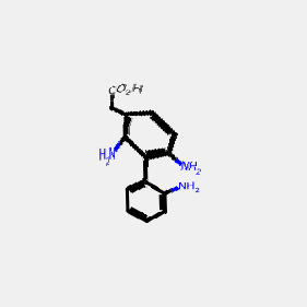 Nc1ccccc1-c1c(N)ccc(CC(=O)O)c1N